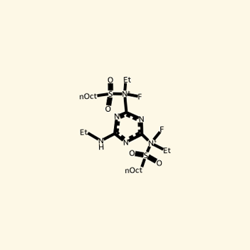 [CH2]CNc1nc([N+](F)(CC)S(=O)(=O)CCCCCCCC)nc([N+](F)(CC)S(=O)(=O)CCCCCCCC)n1